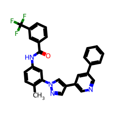 Cc1ccc(NC(=O)c2cccc(C(F)(F)F)c2)cc1-n1cc(-c2cncc(-c3ccccc3)c2)cn1